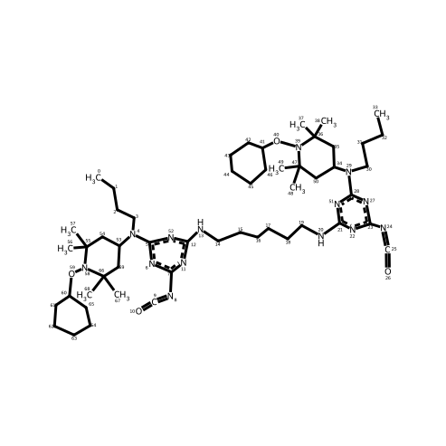 CCCCN(c1nc(N=C=O)nc(NCCCCCCNc2nc(N=C=O)nc(N(CCCC)C3CC(C)(C)N(OC4CCCCC4)C(C)(C)C3)n2)n1)C1CC(C)(C)N(OC2CCCCC2)C(C)(C)C1